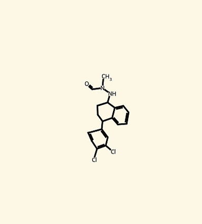 CN(C=O)NC1CCC(c2ccc(Cl)c(Cl)c2)c2ccccc21